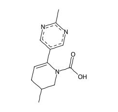 Cc1ncc(C2=CCC(C)CN2C(=O)O)cn1